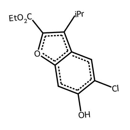 CCOC(=O)c1oc2cc(O)c(Cl)cc2c1C(C)C